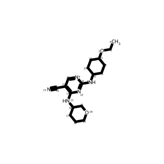 CCOC1CCC(Nc2ncc(C#N)c(NC3CCCOC3)n2)CC1